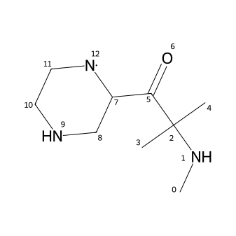 CNC(C)(C)C(=O)C1CNCC[N]1